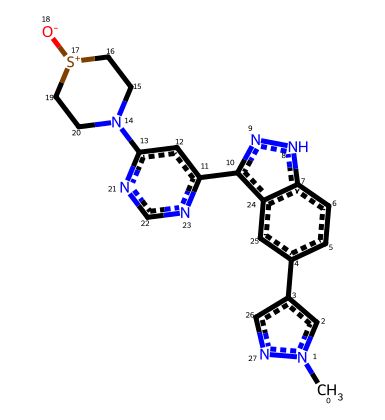 Cn1cc(-c2ccc3[nH]nc(-c4cc(N5CC[S+]([O-])CC5)ncn4)c3c2)cn1